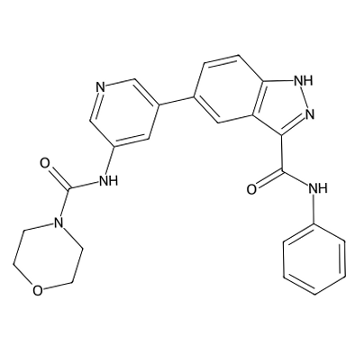 O=C(Nc1ccccc1)c1n[nH]c2ccc(-c3cncc(NC(=O)N4CCOCC4)c3)cc12